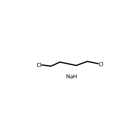 ClCCCCCl.[NaH]